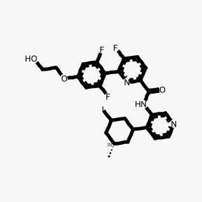 C[C@@H]1CC(I)CC(c2ccncc2NC(=O)c2ccc(F)c(-c3c(F)cc(OCCO)cc3F)n2)C1